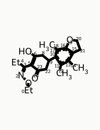 CCO/N=C(/CC)C1=C(O)CC(c2c(C)c(C)c3c(c2C)OCC3)CC1=O